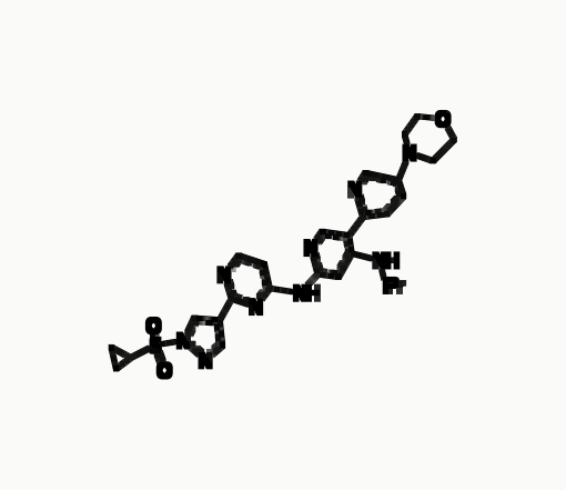 CC(C)Nc1cc(Nc2ccnc(-c3cnn(S(=O)(=O)C4CC4)c3)n2)ncc1-c1ccc(N2CCOCC2)cn1